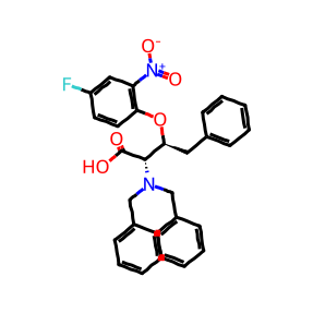 O=C(O)[C@H]([C@H](Cc1ccccc1)Oc1ccc(F)cc1[N+](=O)[O-])N(Cc1ccccc1)Cc1ccccc1